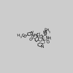 COc1ccnc(NC(=O)c2ccc(CN3C(=O)c4nn(C)cc4NC(=O)C3Cc3ccccn3)cc2Cl)c1